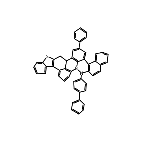 c1ccc(-c2ccc(N3B4c5cccc6c5C(Cc5sc7ccccc7c5-6)c5cc(-c6ccccc6)cc(c54)-c4c3ccc3ccccc43)cc2)cc1